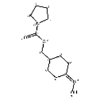 O=C(OCC1CCC(=NO)CC1)N1CCCC1